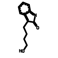 O=C1N=c2ccccc2=C1CCCCO